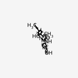 CC#Cc1ccc(-c2nnc(N[C@@H]3CCCN(CCO)C3)c(=O)n2C)c(O)c1